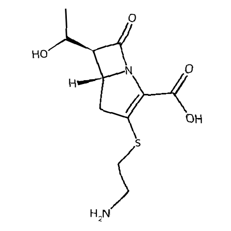 CC(O)[C@H]1C(=O)N2C(C(=O)O)=C(SCCN)C[C@H]12